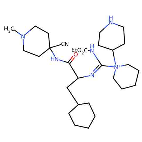 CCOC(=O)NC(=NC(CC1CCCCC1)C(=O)NC1(C#N)CCN(C)CC1)[N+]1(C2CCNCC2)CCCCC1